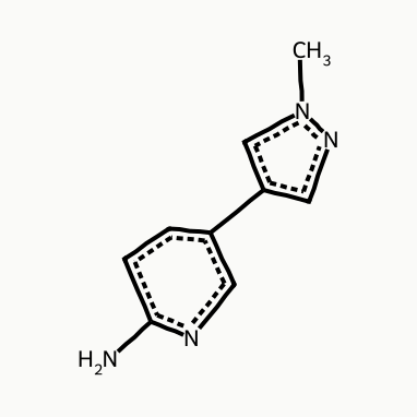 Cn1cc(-c2ccc(N)nc2)cn1